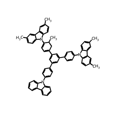 Cc1ccc2c(c1)c1cc(C)ccc1n2C1=CC=C(c2cc(-c3ccc(-n4c5ccccc5c5ccccc54)cc3)cc(-c3ccc(-n4c5ccc(C)cc5c5cc(C)ccc54)cc3)c2)CC1C